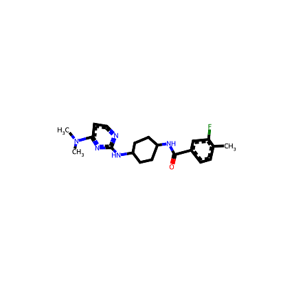 Cc1ccc(C(=O)NC2CCC(Nc3nccc(N(C)C)n3)CC2)cc1F